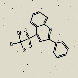 O=S(=O)(c1cc(-c2ccccc2)nc2ccccc12)C(Br)(Br)Br